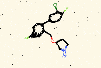 Fc1ccc(-c2ccc(F)c(Cl)c2)c(CO[C@H]2CCNC2)c1